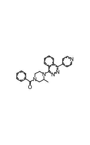 CC1CN(C(=O)c2ccccc2)CCN1c1nnc(-c2ccncc2)c2ccccc12